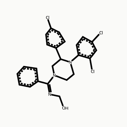 OC/N=C(/c1ccccc1)N1CCN(c2ccc(Cl)cc2Cl)C(c2ccc(Cl)cc2)C1